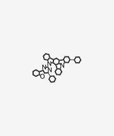 c1ccc(-c2ccc3c4cc5c6ccccc6n(-c6nc(-c7ccccc7)c7oc8ccccc8c7n6)c5c5c6ccccc6n(c3c2)c45)cc1